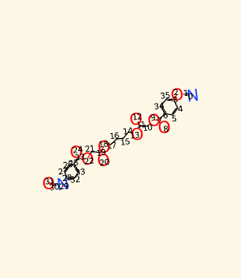 N#COc1ccc(C(=O)OCC(=O)OCCCCOC(=O)COC(=O)c2ccc(N=C=O)cc2)cc1